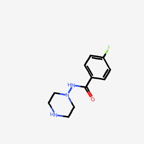 O=C(NN1CCNCC1)c1ccc(F)cc1